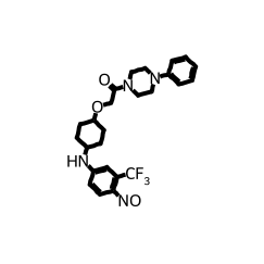 O=Nc1ccc(NC2CCC(OCC(=O)N3CCN(c4ccccc4)CC3)CC2)cc1C(F)(F)F